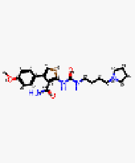 COc1ccc(-c2csc(NC(=O)NCCCCN3CCCC3)c2C(N)=O)cc1